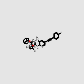 Cc1cc(C#Cc2ccc(F)cc2)cnc1NC(=O)c1c(Cl)cnn1CC1C2CC1CN(C(=O)C(C)C)C2